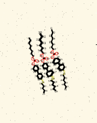 CCCCCCCCOC(=O)Oc1ccc(-c2ccc(SCCCCC)cc2)cc1.CCCCCCCCOC(=O)Oc1ccc(-c2ccc(SCCCCCC)cc2)cc1.CCCCCCCCOC(=O)Oc1ccc(-c2ccc(SCCCCCCC)cc2)cc1